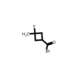 CC(C)C(=O)C1CC(C)(F)C1